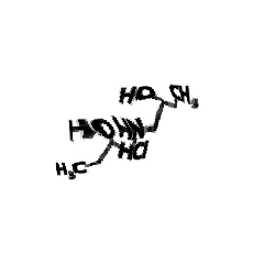 CCC(O)CNCC(O)CC.Cl